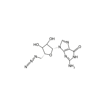 [N-]=[N+]=NC[C@H]1O[C@@H](n2cnc3c(=O)[nH]c(N)nc32)C(O)C1O